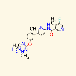 C=N/C(=N\N(C)N)Oc1ccc(C)c(-c2ccc(NC(=O)c3cncc(F)c3C)nc2)c1